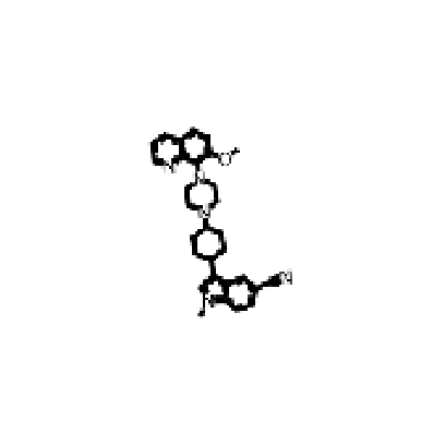 COc1ccc2cccnc2c1N1CCN(C2CCC(c3cn(C)c4ccc(C#N)cc34)CC2)CC1